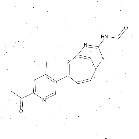 CC(=O)c1cc(C)c(C2=CC3=CC(C=C2)SC(NC=O)=N3)cn1